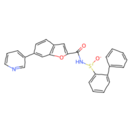 O=C(N[S+]([O-])c1ccccc1-c1ccccc1)c1cc2ccc(-c3cccnc3)cc2o1